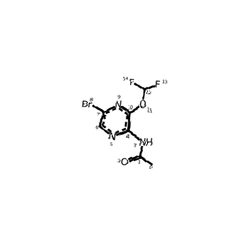 CC(=O)Nc1ncc(Br)nc1OC(F)F